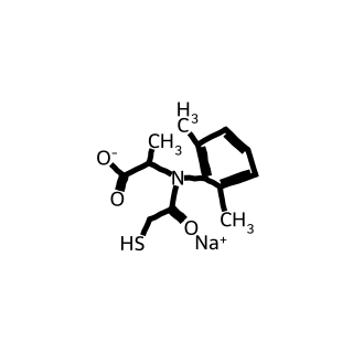 Cc1cccc(C)c1N(C(=O)CS)C(C)C(=O)[O-].[Na+]